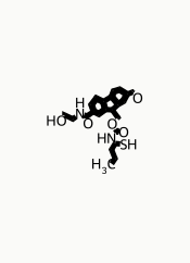 CCCC(S)NC(=O)OCC1c2cc(C=O)ccc2-c2ccc(C(=O)NCCO)cc21